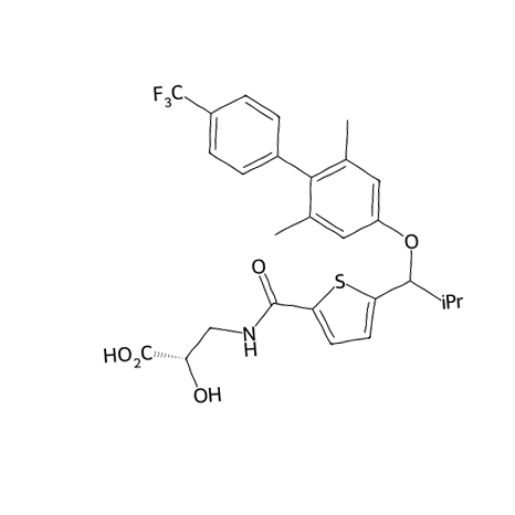 Cc1cc(OC(c2ccc(C(=O)NC[C@H](O)C(=O)O)s2)C(C)C)cc(C)c1-c1ccc(C(F)(F)F)cc1